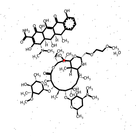 CC[C@H]1OC(=O)[C@H](C)[C@@H](O[C@H]2C[C@@](C)(OC)[C@@H](O)[C@H](C)O2)[C@H](C)[C@@H](O[C@@H]2O[C@H](C)C[C@H](N(C)C)[C@H]2O)[C@](C)(O)C[C@@H](C)[C@@H]2N[C@@H](COCCOC)O[C@@H]([C@H]2C)[C@]1(C)O.C[C@H]1c2cccc(O)c2C(=O)C2=C(O)[C@]3(O)C(=O)C(C(N)=O)=C(O)[C@@H](N(C)C)[C@@H]3[C@@H](O)[C@@H]21.O